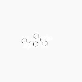 O=S(=O)(O)c1ccccc1/C=C/c1ccccc1-c1ccccc1/C=C/c1ccccc1S(=O)(=O)O